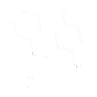 CC(=O)c1ccc(N)c(CN(C)C2CCCCC2)c1.Cl.Cl